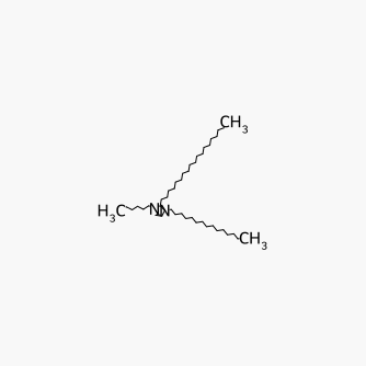 CCCCCCCCCCCCCCCCCCCC1N(CCCCCC)C=CN1CCCCCCCCCCCCCCC